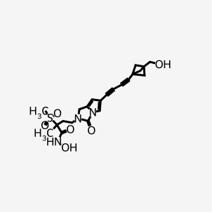 CC(CCN1Cc2cc(C#CC#CC34CC(CO)(C3)C4)cn2C1=O)(C(=O)NO)S(C)(=O)=O